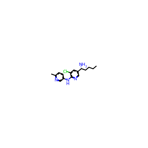 CCCC[C@@H](N)c1cnc(Nc2ccc(C)nc2)c(Cl)c1